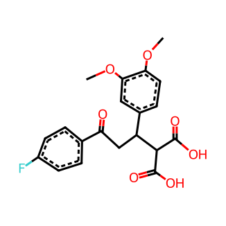 COc1ccc(C(CC(=O)c2ccc(F)cc2)C(C(=O)O)C(=O)O)cc1OC